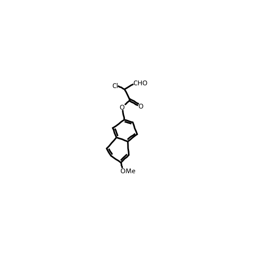 COc1ccc2cc(OC(=O)C(Cl)C=O)ccc2c1